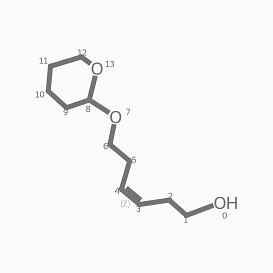 OCC/C=C\CCOC1CCCCO1